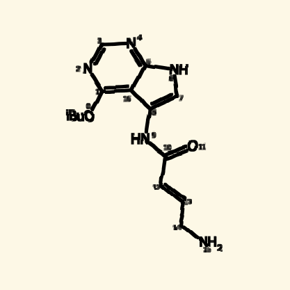 CC(C)COc1ncnc2[nH]cc(NC(=O)/C=C/CN)c12